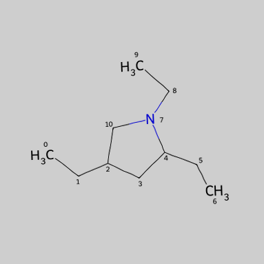 CCC1CC(CC)N(CC)C1